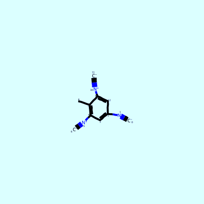 [C-]#[N+]c1cc([N+]#[C-])c(C)c([N+]#[C-])c1